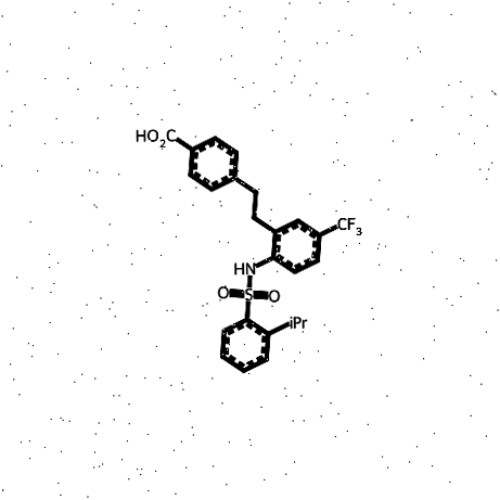 CC(C)c1ccccc1S(=O)(=O)Nc1ccc(C(F)(F)F)cc1CCc1ccc(C(=O)O)cc1